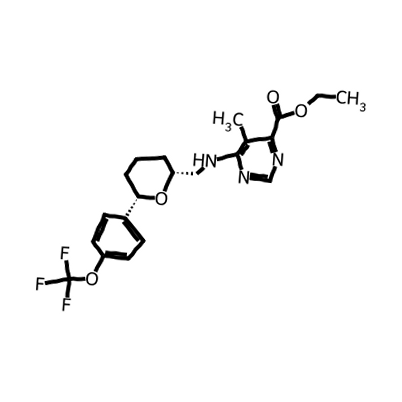 CCOC(=O)c1ncnc(NC[C@H]2CCC[C@@H](c3ccc(OC(F)(F)F)cc3)O2)c1C